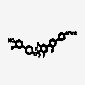 CCCCCc1ccc(-c2ccc(-c3cc(F)c(C(F)(F)OC4CCC(c5ccc(C#N)c(F)c5)CC4)c(F)c3)c(F)c2)cc1